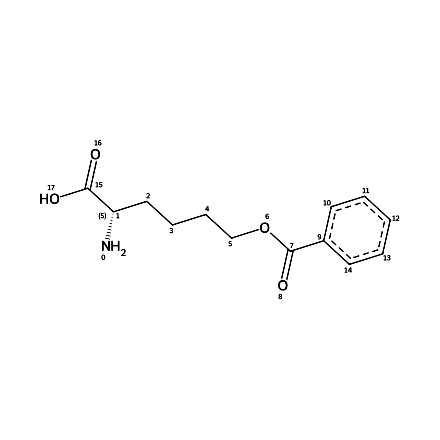 N[C@@H](CCCCOC(=O)c1ccccc1)C(=O)O